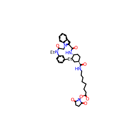 CCc1cccc(N(CC)C(=O)Cn2c(C(=O)N[C@H]3CC[C@H](C(=O)NCCCCCCCC(=O)ON4C(=O)CCC4=O)CC3)cc3ccccc32)c1